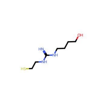 N=C(NCCS)NCCCCO